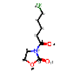 O=C(CCCCBr)N1CCOC1=O